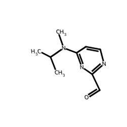 CC(C)N(C)c1ccnc(C=O)n1